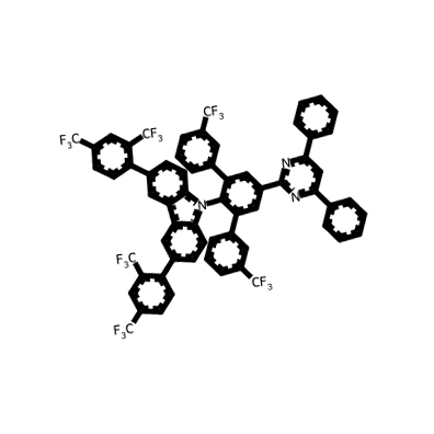 FC(F)(F)c1cccc(-c2cc(-c3nc(-c4ccccc4)cc(-c4ccccc4)n3)cc(-c3cccc(C(F)(F)F)c3)c2-n2c3ccc(-c4ccc(C(F)(F)F)cc4C(F)(F)F)cc3c3cc(-c4ccc(C(F)(F)F)cc4C(F)(F)F)ccc32)c1